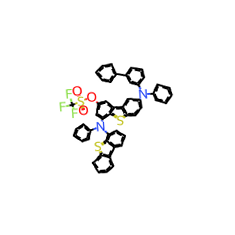 O=S(=O)(Oc1cc(N(c2ccccc2)c2cccc3c2sc2ccccc23)c2sc3ccc(N(c4ccccc4)c4cccc(-c5ccccc5)c4)cc3c2c1)C(F)(F)F